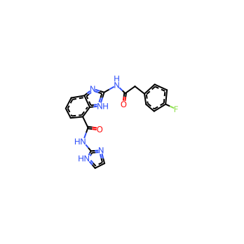 O=C(Cc1ccc(F)cc1)Nc1nc2cccc(C(=O)Nc3ncc[nH]3)c2[nH]1